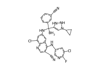 BC(Nc1cc(Cl)c2ncc(C#N)c(Nc3cnc(F)c(Cl)c3)c2c1)(C1=CN(C2CC2)NN1)c1cccc(C#N)c1